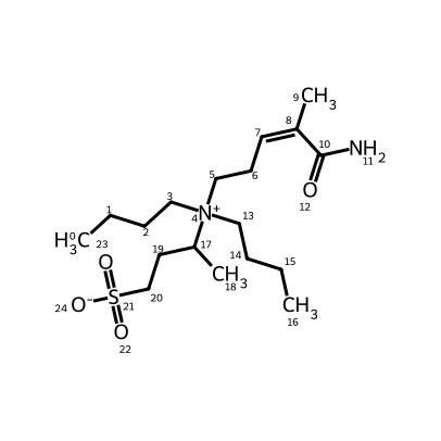 CCCC[N+](CCC=C(C)C(N)=O)(CCCC)C(C)CCS(=O)(=O)[O-]